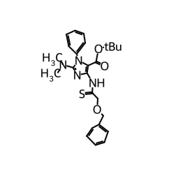 CN(C)c1nc(NC(=S)COCc2ccccc2)c(C(=O)OC(C)(C)C)n1-c1ccccc1